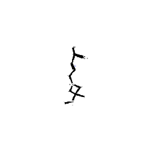 COC1(C)CN(C/C=C/C(C)=O)C1